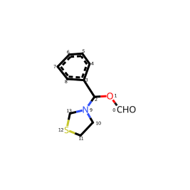 O=COC(c1ccccc1)N1CCSC1